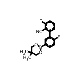 CC1(C)COB(c2ccc(F)c(-c3cccc(F)c3C#N)c2)OC1